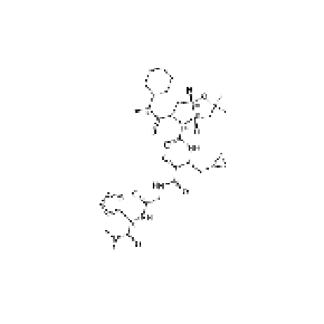 C[C@H](C(=O)C1C[C@@H]2OC(C)(C)C[C@@H]2[C@H]1C(=O)NC(CC1CC1)C(=O)C(=O)NCC(=O)N[C@H](C(=O)N(C)C)c1cccs1)C1CCCCC1